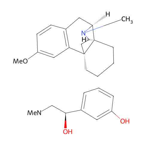 CNC[C@H](O)c1cccc(O)c1.COc1ccc2c(c1)[C@]13CCCC[C@@H]1[C@H](C2)N(C)CC3